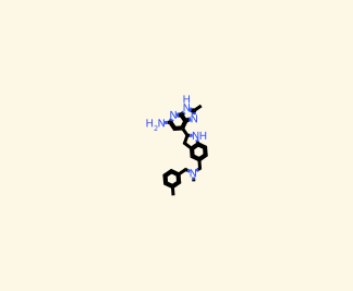 Cc1cccc(CN(C)Cc2ccc3c(c2)CC(c2cc(N)nc4[nH]c(C)nc24)N3)c1